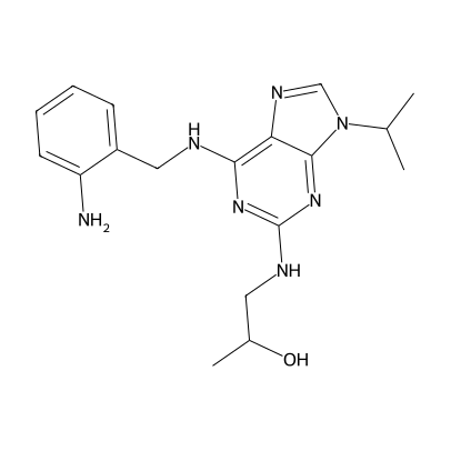 CC(O)CNc1nc(NCc2ccccc2N)c2ncn(C(C)C)c2n1